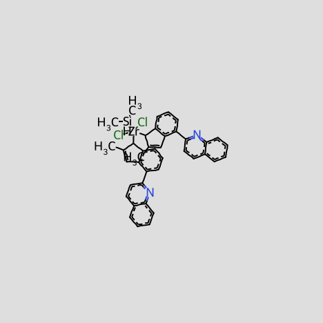 CC1=Cc2c(-c3ccc4ccccc4n3)cccc2[CH]1[Zr]([Cl])([Cl])([CH]1C(C)=Cc2c(-c3ccc4ccccc4n3)cccc21)[SiH](C)C